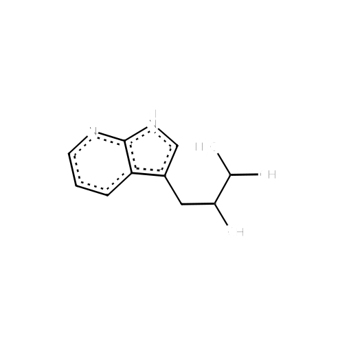 CC(C)C(C)Cc1c[nH]c2ncccc12